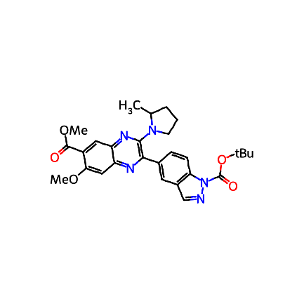 COC(=O)c1cc2nc(N3CCCC3C)c(-c3ccc4c(cnn4C(=O)OC(C)(C)C)c3)nc2cc1OC